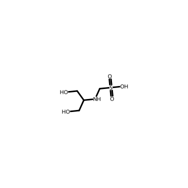 O=S(=O)(O)CNC(CO)CO